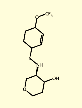 OC1CCOC[C@H]1NSC1C=CC(OC(F)(F)F)CC1